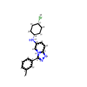 Cc1cccc(-c2nnc3ccc(N[C@H]4CC[C@@H](Br)CC4)cn23)c1